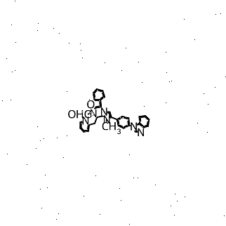 Cn1c(-c2ccc(-n3cnc4ccccc43)cc2)cnc1C(Cc1ccccn1)N(C=O)c1cc2ccccc2o1